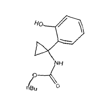 CCCCOC(=O)NC1(c2ccccc2O)CC1